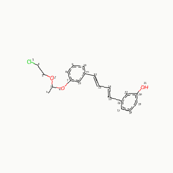 CC(OCCCl)Oc1cccc(C=CC=Cc2cccc(O)c2)c1